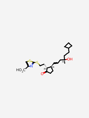 C[C@@](O)(CC=C[C@H]1CCC(=O)[C@@H]1CCSc1nc(C(=O)O)cs1)CCC1CCC1